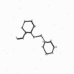 CCC1CCCCC1CCC1CCCCC1